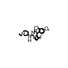 CCN1CCCC(Nc2nnc(-c3ccc(OC)cc3Cl)c3c(F)ccn23)C1